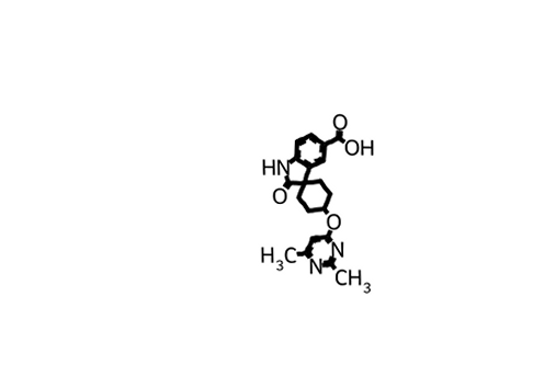 Cc1cc(OC2CCC3(CC2)C(=O)Nc2ccc(C(=O)O)cc23)nc(C)n1